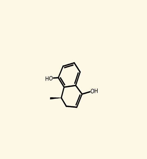 C[C@@H]1CC=C(O)c2cccc(O)c21